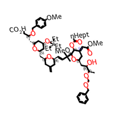 C=C1C[C@@H](C[C@H]2C[C@@H](O[Si](CC)(CC)CC)C[C@@H](C[C@H](CC(=O)O)OCc3ccc(OC)cc3)O2)O[C@@H](C=CC(C)(C)[C@@]2(OC)O[C@H](C[C@@H](O)[C@@H](C)OCOCc3ccccc3)C/C(=C\C(=O)OC)[C@@H]2OC(=O)CCCCCCC)C1